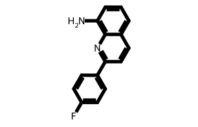 Nc1cccc2ccc(-c3ccc(F)cc3)nc12